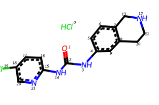 Cl.O=C(Nc1ccc2c(c1)CCNC2)Nc1ccc(Cl)cn1